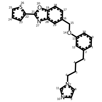 c1cc(CCCCn2ccnc2)cc(OCc2ccc3oc(-c4cccs4)nc3c2)c1